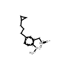 COc1ccc(CCCC2CC2)cc1C[SH](=O)=O